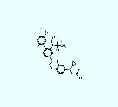 COc1ccc(F)c(-c2ccc(C3CCc4ccc(C(CC(=O)O)C5CC5)cc4O3)cc2C(OC)C(C)(C)C)c1